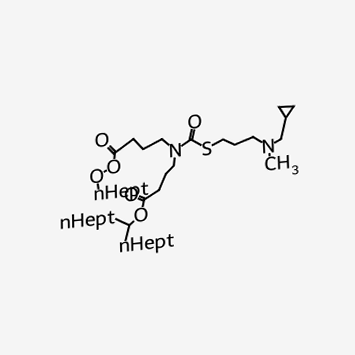 CCCCCCCOOC(=O)CCCN(CCCC(=O)OC(CCCCCCC)CCCCCCC)C(=O)SCCCN(C)CC1CC1